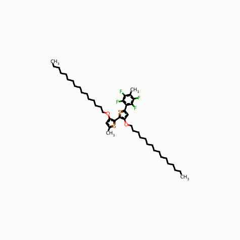 CCCCCCCCCCCCCCCCOc1cc(C)sc1-c1sc(-c2c(F)c(F)c(C)c(F)c2F)cc1OCCCCCCCCCCCCCCCC